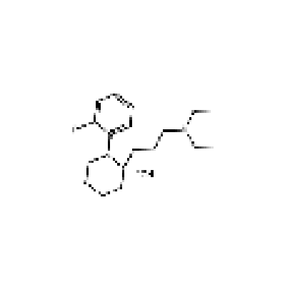 CCN(CC)CCC[C@@]1(O)CCCC[C@H]1c1ccccc1F